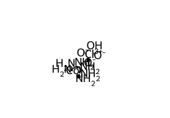 [NH2][Co]([NH2])([NH2])([NH2])([NH2])[NH2].[O-][Cl+3]([O-])([O-])O